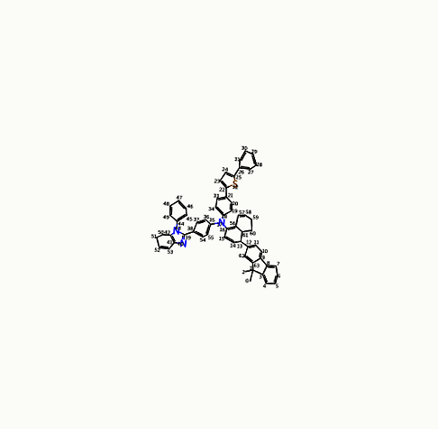 CC1(C)c2ccccc2-c2ccc(C3C=CC(N(c4ccc(-c5ccc(-c6ccccc6)s5)cc4)c4ccc(-c5nc6c(n5-c5ccccc5)CCC=C6)cc4)=C4C=CCCC43)cc21